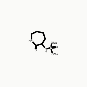 COP(=O)(NC1CCCCNC1=O)OC